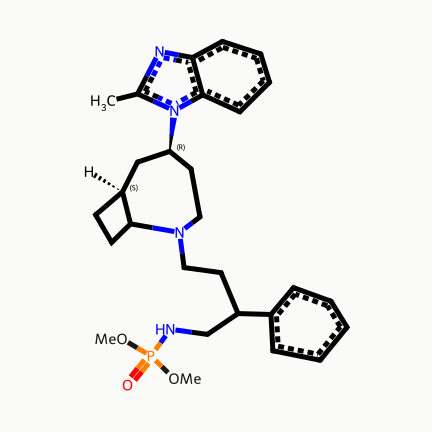 COP(=O)(NCC(CCN1CC[C@H](n2c(C)nc3ccccc32)C[C@@H]2CCC21)c1ccccc1)OC